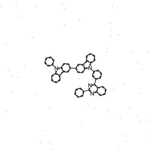 c1ccc(-c2nc(-c3cccc(-n4c5ccccc5c5cc(-c6ccc7c(c6)c6ccccc6n7-c6ccccc6)ccc54)c3)c3ccccc3n2)cc1